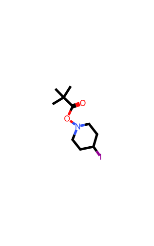 CC(C)(C)C(=O)ON1CCC(I)CC1